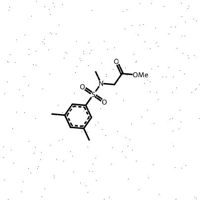 COC(=O)CN(C)S(=O)(=O)c1cc(C)cc(C)c1